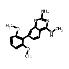 CNc1nc(N)nc2cc(-c3c(OC)cccc3OC)ccc12